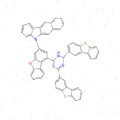 c1ccc2cc3c(cc2c1)c1ccccc1n3-c1cc(C2=NC(c3ccc4sc5ccccc5c4c3)=NC(c3ccc4sc5ccccc5c4c3)N2)c2c(c1)oc1ccccc12